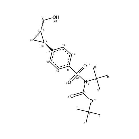 CC(C)(C)OC(=O)N(C(C)(C)C)S(=O)(=O)c1ccc([C@H]2C[C@@H]2CO)cc1